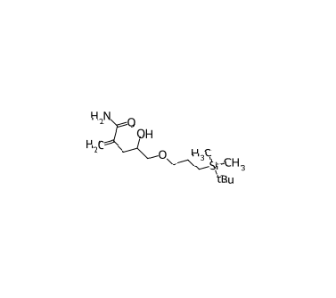 C=C(CC(O)COCCC[Si](C)(C)C(C)(C)C)C(N)=O